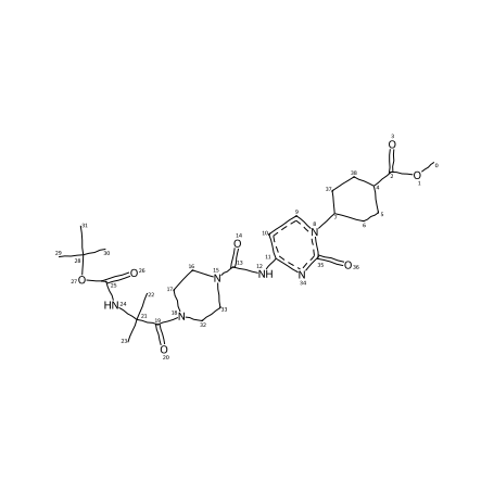 COC(=O)C1CCC(n2ccc(NC(=O)N3CCN(C(=O)C(C)(C)NC(=O)OC(C)(C)C)CC3)nc2=O)CC1